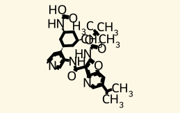 CC(C)c1cnc2c(C(=O)Nc3cnccc3[C@H]3C[C@@H](C)C[C@H](NC(=O)O)C3)c(NC(=O)OC(C)(C)C)oc2c1